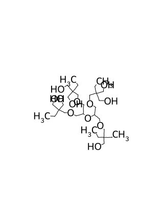 CCC(CC)(CO)COCC(COCC(CC)(CO)CO)OC(COCC(CC)(CO)CO)COCC(CC)(CO)CO